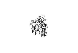 O=C(c1cc(C(F)(F)F)cc(C(F)(F)F)c1)C1(Cc2ccccc2)CCC2CCC1(c1ccc(F)cc1)N2